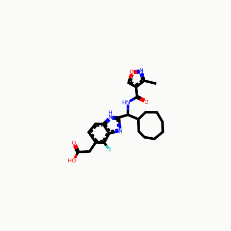 Cc1nocc1C(=O)NC(c1nc2c(F)c(CC(=O)O)ccc2[nH]1)C1CCCCCCC1